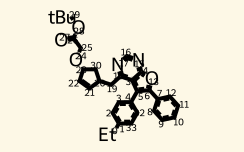 CCc1ccc(-c2c(-c3ccccc3)oc3ncnc(CC4C=C[C@H](OCC(=O)OC(C)(C)C)C4)c23)cc1